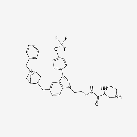 O=C(NCCCn1cc(-c2ccc(OC(F)(F)F)cc2)c2cc(CN3CC4CC3CN4Cc3ccccc3)ccc21)C1CNCCN1